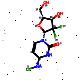 O=C1NC(NCl)C=CN1[C@@H]1O[C@H](CO)[C@@H](O)C1(F)F